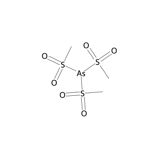 CS(=O)(=O)[As](S(C)(=O)=O)S(C)(=O)=O